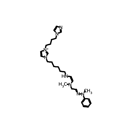 CN(/C=C\NCCCCCCn1cc[n+](CCCCn2ccnc2)c1)C/C=N/N(C)c1ccccc1